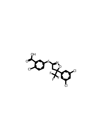 O=C(O)c1cc(SC2=NOC(c3cc(Cl)cc(Cl)c3)(C(F)(F)F)C2)ccc1Cl